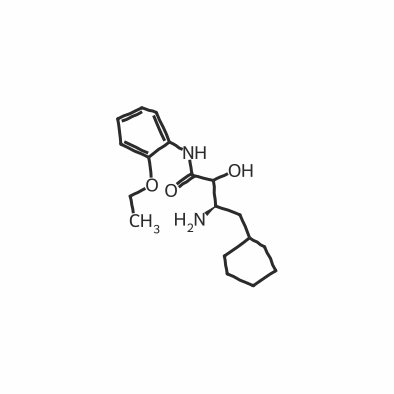 CCOc1ccccc1NC(=O)C(O)[C@H](N)CC1CCCCC1